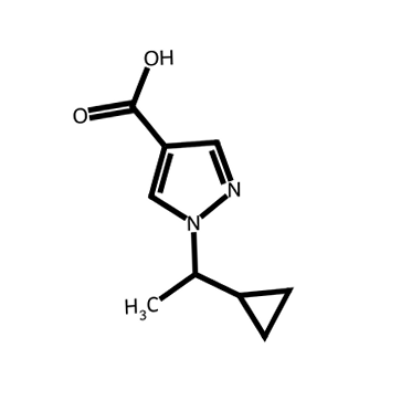 CC(C1CC1)n1cc(C(=O)O)cn1